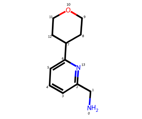 NCc1cccc(C2CCOCC2)n1